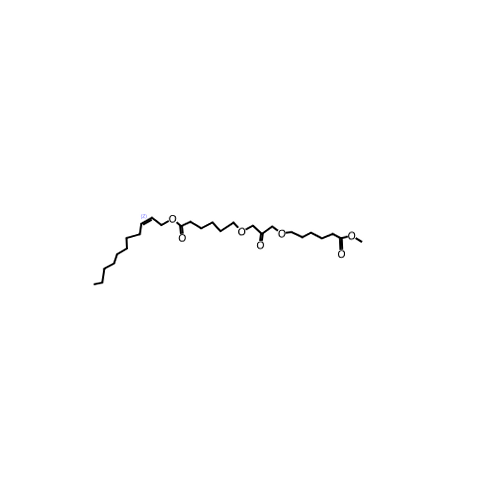 CCCCCCCC/C=C\COC(=O)CCCCCOCC(=O)COCCCCCC(=O)OC